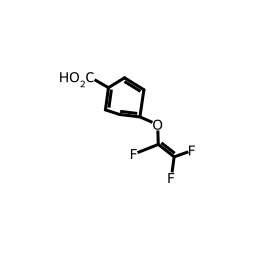 O=C(O)c1ccc(OC(F)=C(F)F)cc1